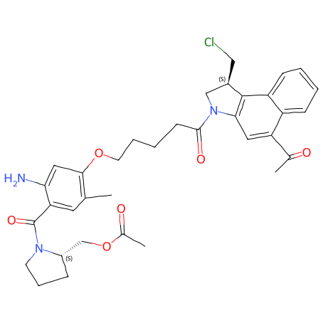 CC(=O)OC[C@@H]1CCCN1C(=O)c1cc(C)c(OCCCCC(=O)N2C[C@@H](CCl)c3c2cc(C(C)=O)c2ccccc32)cc1N